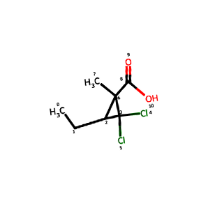 CCC1C(Cl)(Cl)C1(C)C(=O)O